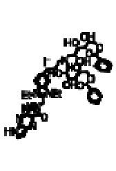 CCn1c(CNC(=O)c2nc3cc[nH]c3nc2N)[n+](CC)c2cc(CCCN(C[C@H](O)[C@@H](O)[C@@H]3OC(c4ccccc4)OC[C@H]3O)C[C@H](O)[C@@H](O)[C@@H]3OC(c4ccccc4)OC[C@H]3O)ccc21.[I-]